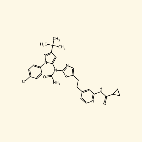 CC(C)(C)c1cc(N(C(N)=O)c2ncc(CCc3ccnc(NC(=O)C4CC4)c3)s2)n(-c2ccc(Cl)cc2)n1